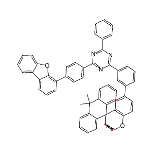 CC1(C)c2ccccc2C2(c3ccccc3Oc3ccc(-c4cccc(-c5nc(-c6ccccc6)nc(-c6ccc(-c7cccc8c7oc7ccccc78)cc6)n5)c4)cc32)c2ccccc21